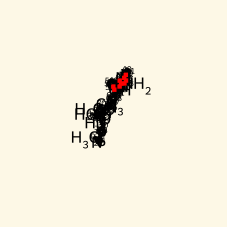 Cc1ncsc1-c1ccc(CNC(=O)[C@@H]2C[C@@H](O)CN2C(=O)[C@@H](c2cc(N3CCC(N4CCC(c5cnc(N6C7CCC6CN(c6cc(-c8ccccc8O)nnc6N)C7)nc5)CC4)CC3)no2)C(C)C)cc1